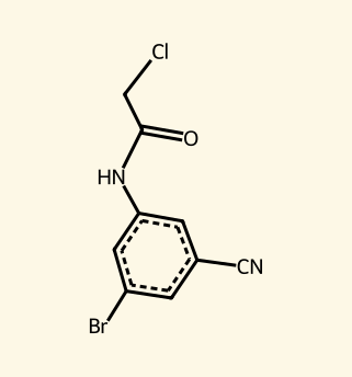 N#Cc1cc(Br)cc(NC(=O)CCl)c1